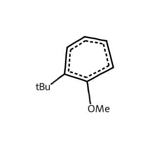 [CH2]C(C)(C)c1ccccc1OC